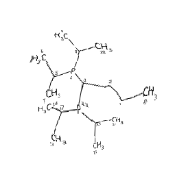 CCCC(P(C(C)C)C(C)C)P(C(C)C)C(C)C